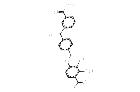 CC(=O)c1ccc(OCc2ccc(C(O)c3cccc(C(=O)O)c3)cc2)c(Cl)c1O